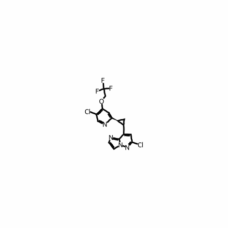 FC(F)(F)COc1cc([C@H]2CC2c2cc(Cl)nn3ccnc23)ncc1Cl